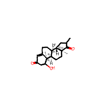 CC1C[C@H]2[C@@H]3CCC4=CC(=O)CC(O)[C@]4(C)[C@@H]3CC[C@]2(C)C1=O